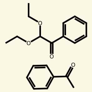 CC(=O)c1ccccc1.CCOC(OCC)C(=O)c1ccccc1